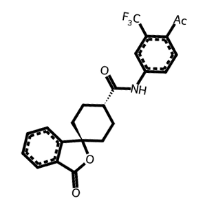 CC(=O)c1ccc(NC(=O)[C@H]2CC[C@@]3(CC2)OC(=O)c2ccccc23)cc1C(F)(F)F